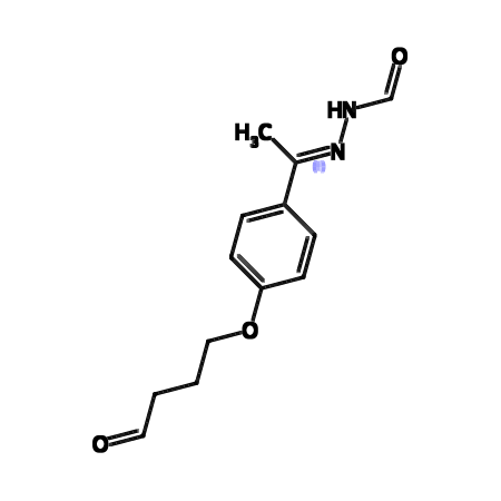 C/C(=N\NC=O)c1ccc(OCCCC=O)cc1